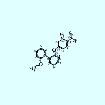 COc1ccccc1-c1cccnc1OC1=CC=C(C(F)F)NC1